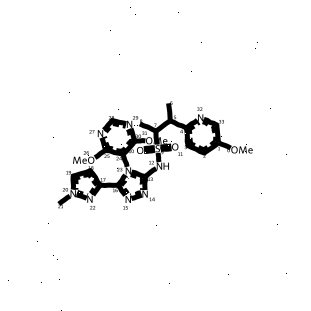 COc1ccc(C(C)C(C)S(=O)(=O)Nc2nnc(-c3ccn(C)n3)n2-c2c(OC)ncnc2OC)nc1